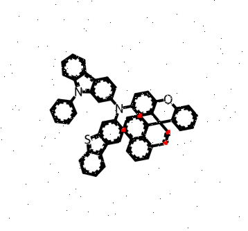 c1ccc(-n2c3ccccc3c3ccc(N(c4ccc5c(c4)C4(c6ccccc6O5)c5ccccc5-c5cccc6cccc4c56)c4ccc5c(c4)sc4ccccc45)cc32)cc1